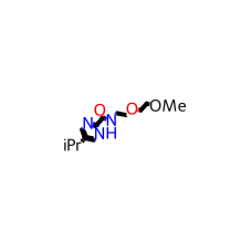 COCCOCCNC(=O)c1ncc(C(C)C)cn1